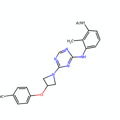 CC(=O)Nc1cccc(Nc2ncnc(N3CC(Oc4ccc(C#N)cc4)C3)n2)c1C